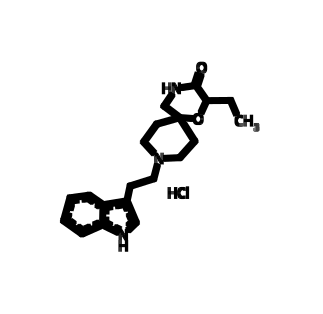 CCC1OC2(CCN(CCc3c[nH]c4ccccc34)CC2)CNC1=O.Cl